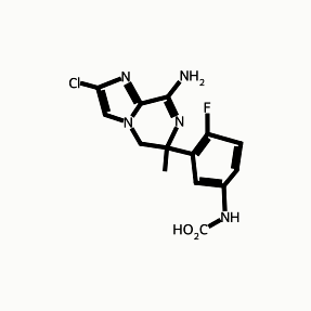 CC1(c2cc(NC(=O)O)ccc2F)Cn2cc(Cl)nc2C(N)=N1